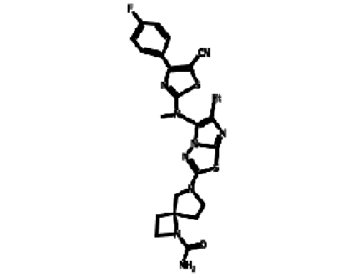 CCc1nc2sc(N3CCC4(CCN4C(N)=O)C3)nn2c1N(C)c1nc(-c2ccc(F)cc2)c(C#N)s1